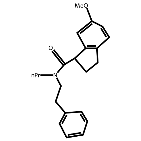 CCCN(CCc1ccccc1)C(=O)C1CCc2ccc(OC)cc21